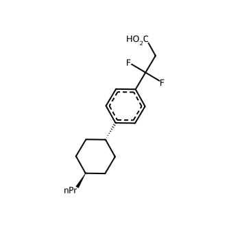 CCC[C@H]1CC[C@H](c2ccc(C(F)(F)CC(=O)O)cc2)CC1